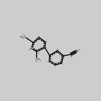 Cc1ccc(-c2cccc(C#N)c2)c(C)n1